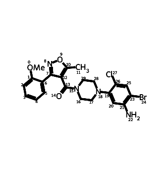 COc1ccccc1-c1noc(C)c1C(=O)N1CCN(c2cc(N)c(Br)cc2Cl)CC1